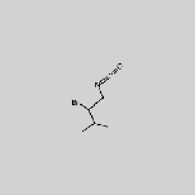 CC(C)C(Br)CN=C=O